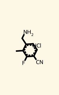 Cc1c(CN)ccc(C#N)c1F.Cl